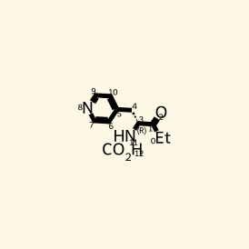 CCC(=O)[C@@H](Cc1ccncc1)NC(=O)O